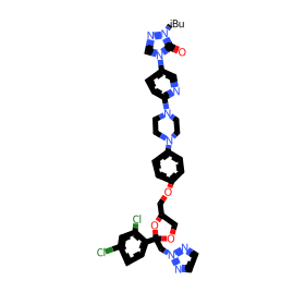 CCC(C)n1ncn(-c2ccc(N3CCN(c4ccc(OCC5COC(Cn6nccn6)(c6ccc(Cl)cc6Cl)O5)cc4)CC3)nc2)c1=O